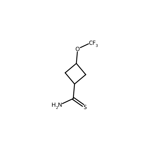 NC(=S)C1CC(OC(F)(F)F)C1